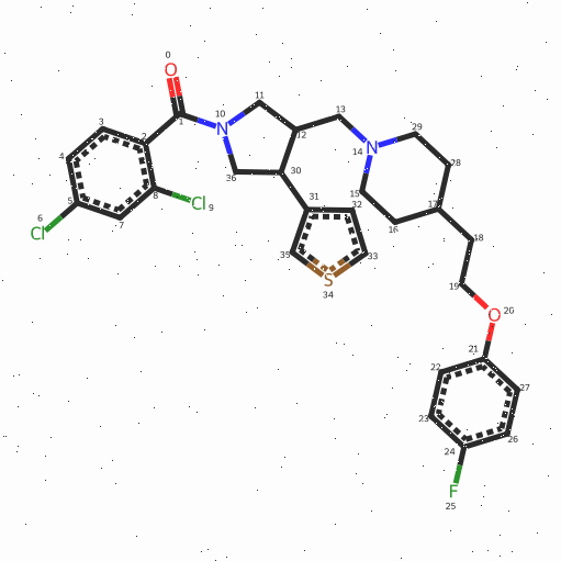 O=C(c1ccc(Cl)cc1Cl)N1CC(CN2CCC(CCOc3ccc(F)cc3)CC2)C(c2ccsc2)C1